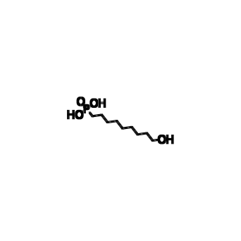 O=P(O)(O)CCCCCCCCCO